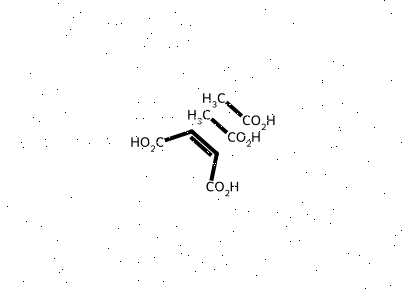 CC(=O)O.CC(=O)O.O=C(O)/C=C\C(=O)O